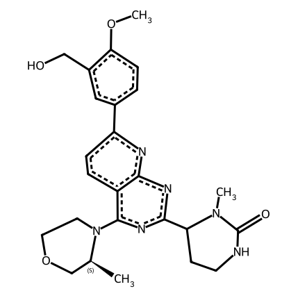 COc1ccc(-c2ccc3c(N4CCOC[C@@H]4C)nc(C4CCNC(=O)N4C)nc3n2)cc1CO